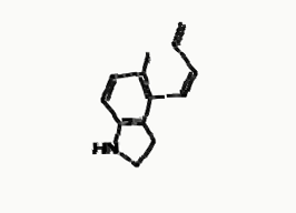 C=C/C=C\c1c(C)ccc2c1CCN2